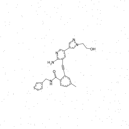 Cc1ccc(C(=O)NCc2ccsc2)c(C#Cc2cc(-c3cnn(CCO)c3)cnc2N)c1